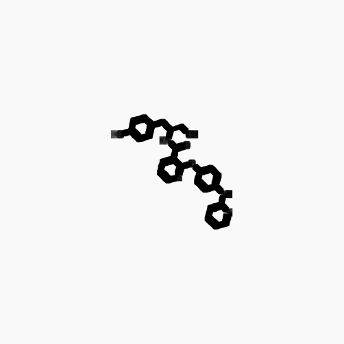 O=C(N[C@H](CO)Cc1ccc(O)cc1)c1cccnc1Oc1ccc(Nc2ccccn2)cc1